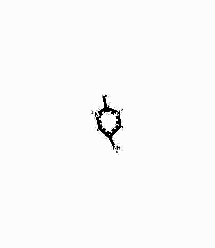 Cc1ncc([NH])cn1